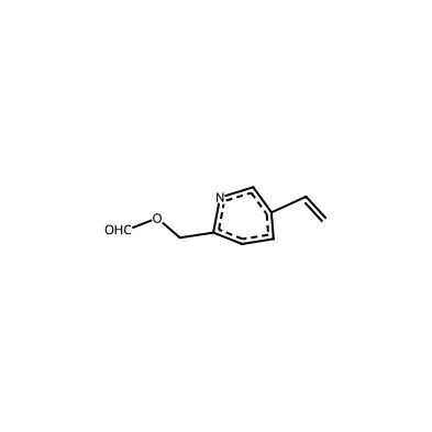 C=Cc1ccc(COC=O)nc1